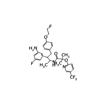 CC(NC(=O)C(C)(C)Oc1ccc(C(F)(F)F)cn1)C(Cc1ccc(OCCF)cc1)c1cc(N)cc(F)c1